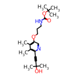 Cc1c(OCCCNC(=O)OC(C)(C)C)cnc(C#CC(C)(C)O)c1C